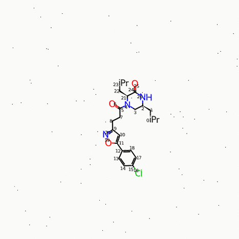 CC(C)C[C@H]1CN(C(=O)CCc2cc(-c3ccc(Cl)cc3)on2)[C@@H](CC(C)C)C(=O)N1